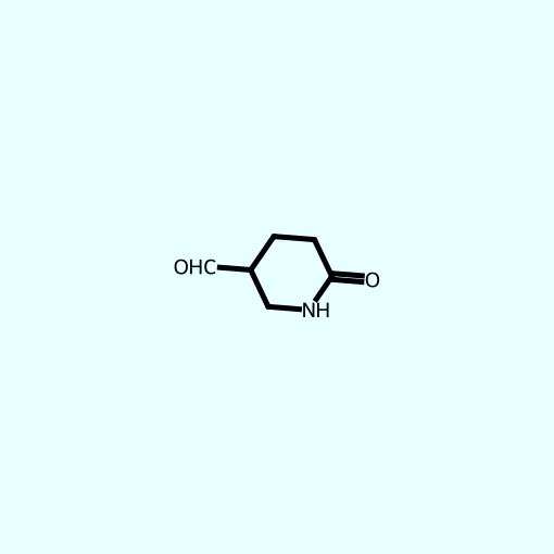 O=CC1CCC(=O)NC1